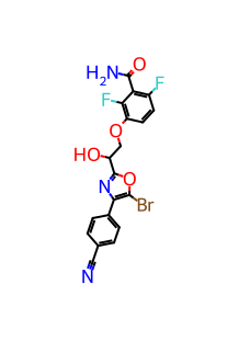 N#Cc1ccc(-c2nc(C(O)COc3ccc(F)c(C(N)=O)c3F)oc2Br)cc1